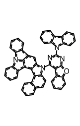 c1ccc2c(c1)ccc1c2c2c3c4ccccc4n4c5ccccc5c(cc2n1-c1nc(-n2c5ccccc5c5ccccc52)nc2oc5ccccc5c12)c34